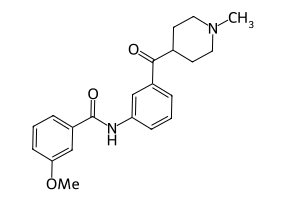 COc1cccc(C(=O)Nc2cccc(C(=O)C3CCN(C)CC3)c2)c1